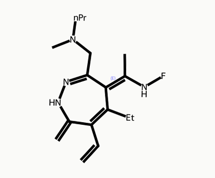 C=CC1=C(CC)/C(=C(/C)NF)C(CN(C)CCC)=NNC1=C